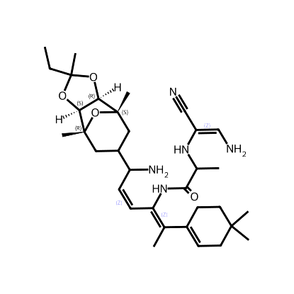 CCC1(C)O[C@@H]2[C@H](O1)[C@@]1(C)CC(C(N)/C=C\C(NC(=O)C(C)N/C(C#N)=C\N)=C(/C)C3=CCC(C)(C)CC3)C[C@]2(C)O1